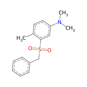 Cc1ccc(N(C)C)cc1S(=O)(=O)Cc1ccccc1